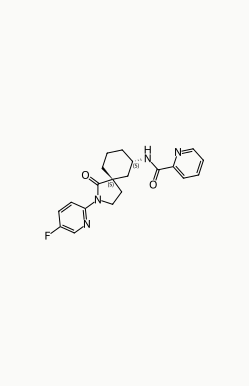 O=C(N[C@H]1CCC[C@]2(CCN(c3ccc(F)cn3)C2=O)C1)c1ccccn1